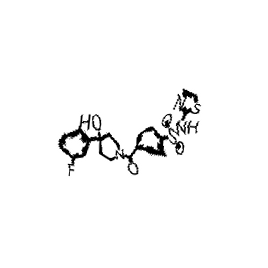 O=C(c1ccc(S(=O)(=O)Nc2nccs2)cc1)N1CCC(O)(c2cccc(F)c2)CC1